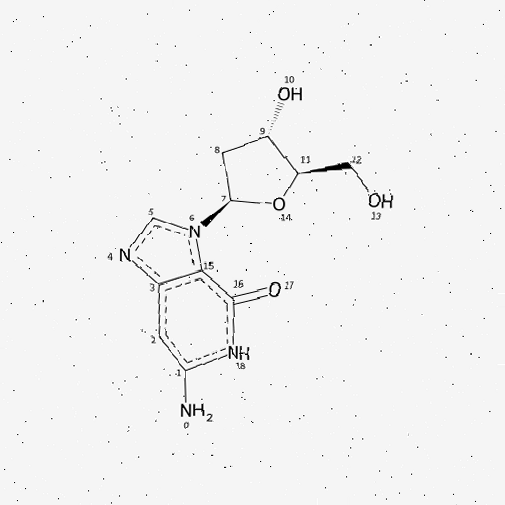 Nc1cc2ncn([C@H]3C[C@H](O)[C@@H](CO)O3)c2c(=O)[nH]1